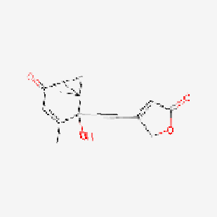 CC1=CC(=O)C2CC2(C)C1(O)C#CC1=CC(=O)OC1